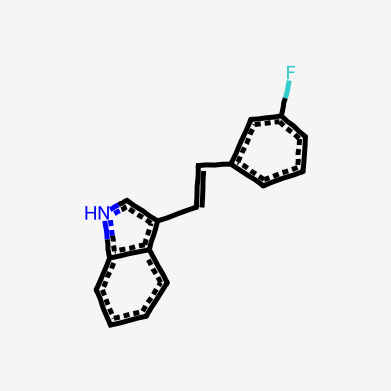 Fc1cccc(/C=C/c2c[nH]c3ccccc23)c1